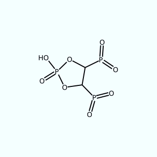 O=P(=O)C1OP(=O)(O)OC1P(=O)=O